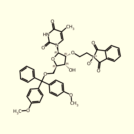 COc1ccc(C(OC[C@H]2O[C@@H](n3cc(C)c(=O)[nH]c3=O)[C@H](OCC[N+]3([O-])C(=O)c4ccccc4C3=O)[C@@H]2O)(c2ccccc2)c2ccc(OC)cc2)cc1